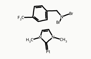 Cn1ccn(C)[c]1=[Pt].FC(F)(F)c1ccc(CN(Br)Br)cc1